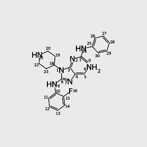 C=C(/N=C1\C(=C/N)N=C(Nc2ccccc2F)N1C1CCNCC1)Nc1ccccc1